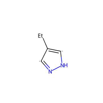 CCc1[c]n[nH][c]1